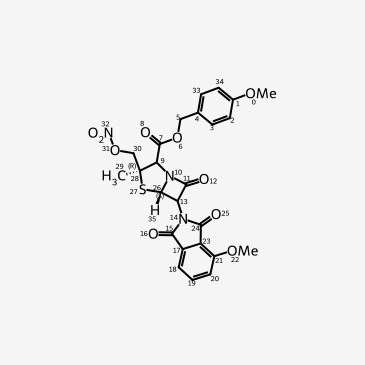 COc1ccc(COC(=O)C2N3C(=O)C(N4C(=O)c5cccc(OC)c5C4=O)[C@@H]3S[C@@]2(C)CO[N+](=O)[O-])cc1